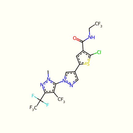 Cn1nc(C(F)(F)C(F)(F)F)c(C(F)(F)F)c1-n1cc(-c2cc(C(=O)NCC(F)(F)F)c(Cl)s2)cn1